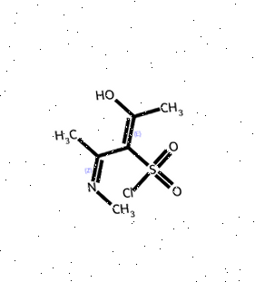 C/N=C(C)\C(=C(\C)O)S(=O)(=O)Cl